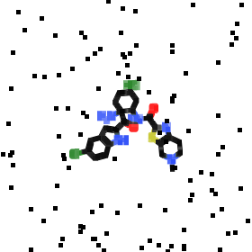 CN1CCc2nc(C(=O)NC3CC=CCC3(N)C(=O)c3cc4cc(Cl)ccc4[nH]3)sc2C1.Cl